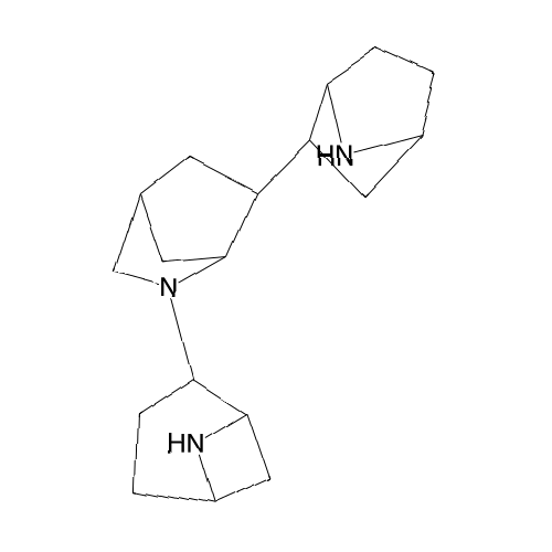 C1CC2NC1CC2C1CC2CC1N(C1CCC3CC1N3)C2